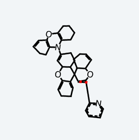 C1=CC2=C(CC1)N(C1=CC3OC4=CCCC=C4C4(C5C=CC(c6ccccn6)CC5OC5C=CCCC54)C3CC1)C1=C(CCCC1)O2